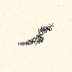 CC(C)(C)c1cc(NC(=O)Nc2ccc(-n3nc(-c4ccc(N5CCN(CCO)CC5)cc4)c4c(N)ncnc43)cc2)no1